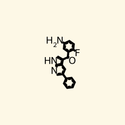 Nc1ccc(F)c(C(=O)c2c[nH]c3ncc(-c4ccccc4)cc23)c1